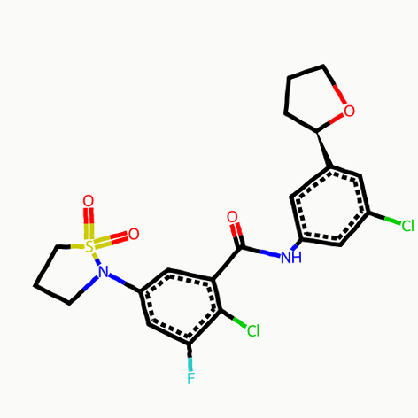 O=C(Nc1cc(Cl)cc([C@H]2CCCO2)c1)c1cc(N2CCCS2(=O)=O)cc(F)c1Cl